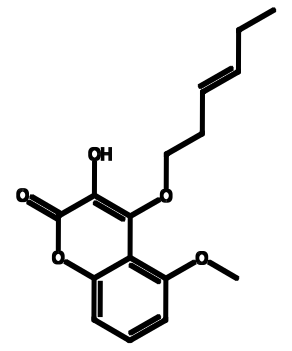 CC/C=C/CCOc1c(O)c(=O)oc2cccc(OC)c12